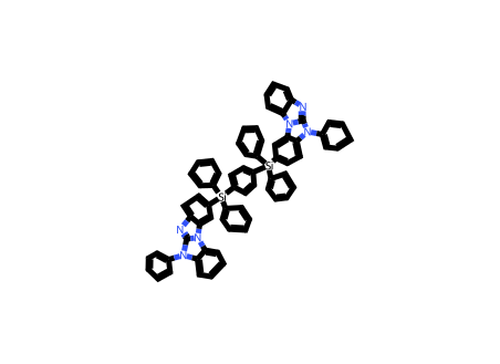 c1ccc(-n2c3ccccc3n3c4cc([Si](c5ccccc5)(c5ccccc5)c5ccc([Si](c6ccccc6)(c6ccccc6)c6ccc7c(c6)n6c8ccccc8nc6n7-c6ccccc6)cc5)ccc4nc23)cc1